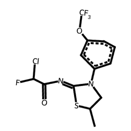 CC1CN(c2cccc(OC(F)(F)F)c2)C(=NC(=O)C(F)Cl)S1